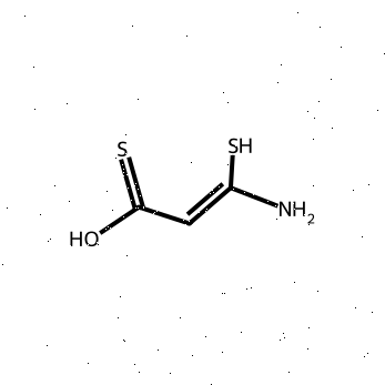 NC(S)=CC(O)=S